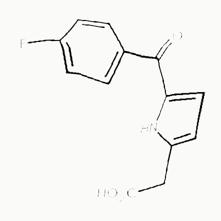 O=C(O)Cc1ccc(C(=O)c2ccc(F)cc2)[nH]1